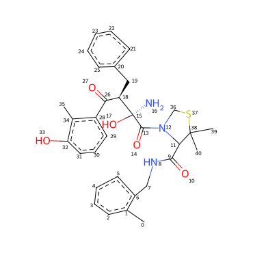 Cc1ccccc1CNC(=O)C1N(C(=O)[C@@](N)(O)[C@H](Cc2ccccc2)C(=O)c2cccc(O)c2C)CSC1(C)C